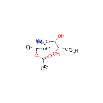 CCCC(=O)OC(N)(CC)CCC.O=C(O)C(O)C(O)C(=O)O